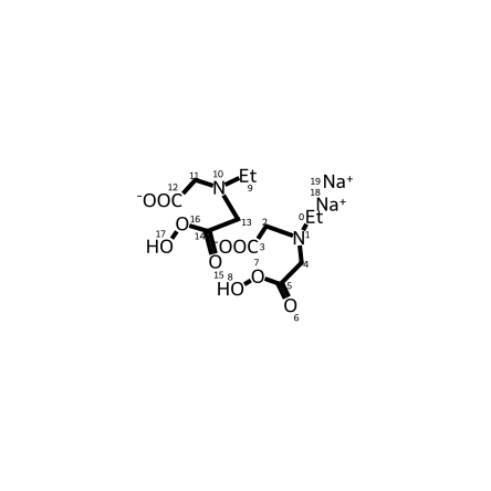 CCN(CC(=O)[O-])CC(=O)OO.CCN(CC(=O)[O-])CC(=O)OO.[Na+].[Na+]